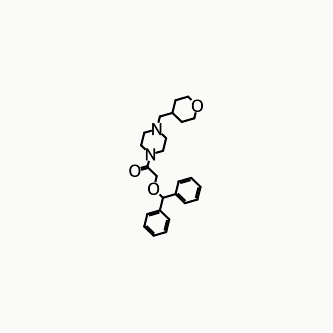 O=C(COC(c1ccccc1)c1ccccc1)N1CCN(CC2CCOCC2)CC1